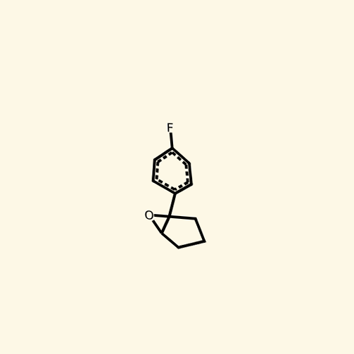 Fc1ccc(C23CCCC2O3)cc1